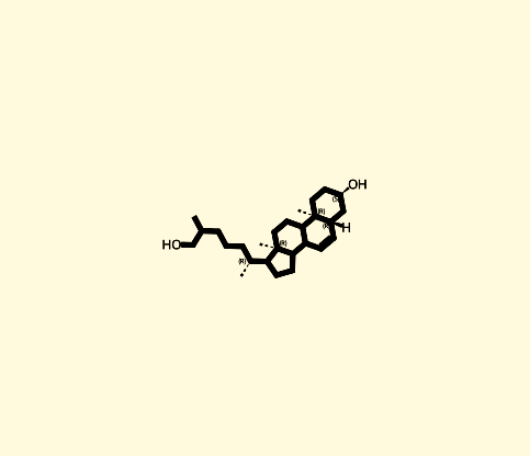 CC(CO)CCC[C@@H](C)C1CCC2C3C=C[C@H]4C[C@@H](O)CC[C@]4(C)C3CC[C@@]21C